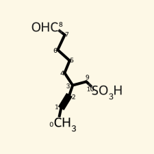 CC#CC(CCCCC=O)CS(=O)(=O)O